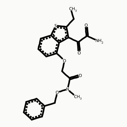 CCc1sc2cccc(OCC(=O)N(C)OCc3ccccc3)c2c1C(=O)C(N)=O